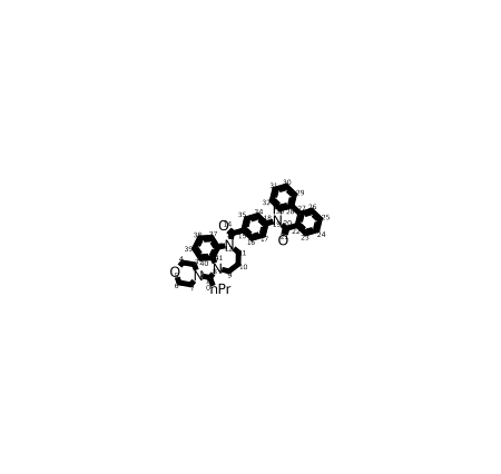 CCCC(N1CCOCC1)N1CCCN(C(=O)c2ccc(NC(=O)c3ccccc3-c3ccccc3)cc2)c2ccccc21